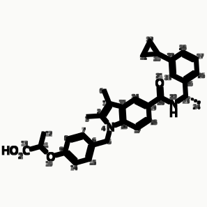 Cc1c(C)n(Cc2ccc(OC(C)C(=O)O)cc2)c2ccc(C(=O)N[C@@H](C)c3cccc(C4CC4)c3)cc12